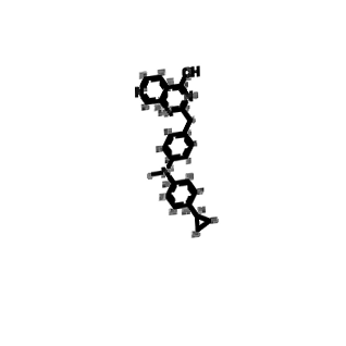 CN(c1ccc(Cc2nc(O)c3ccncc3n2)cc1)c1ccc(C2CC2)cc1